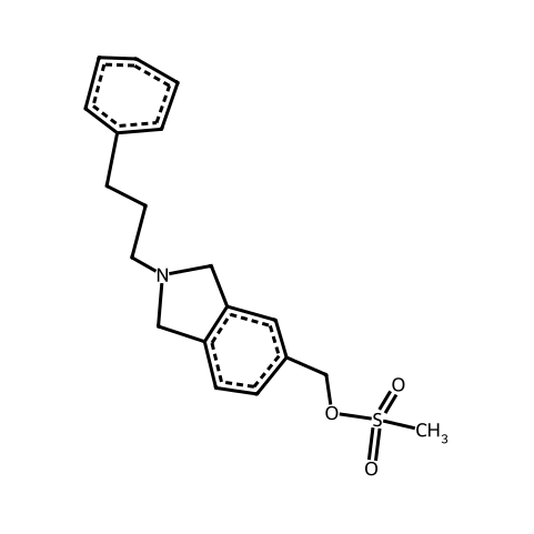 CS(=O)(=O)OCc1ccc2c(c1)CN(CCCc1ccccc1)C2